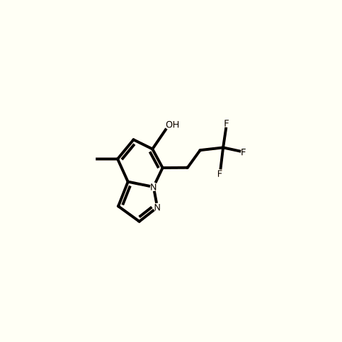 Cc1cc(O)c(CCC(F)(F)F)n2nccc12